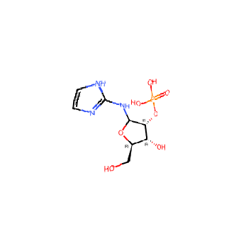 O=P(O)(O)O[C@H]1C(Nc2ncc[nH]2)O[C@H](CO)[C@H]1O